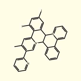 Cc1cc2[n+](cc1-c1ccccn1)C1c3ccccc3-c3cccc[n+]3C1c1cc(I)cc(I)c1-2